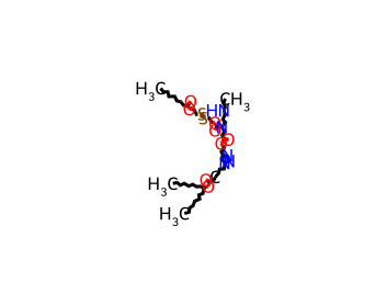 CCCCCCCCC(=O)OCCSSCCOC(=O)N(CCCNCCC)CCC(=O)OCCc1cn(CCCCCC(=O)OC(CCCCCCCC)CCCCCCCC)nn1